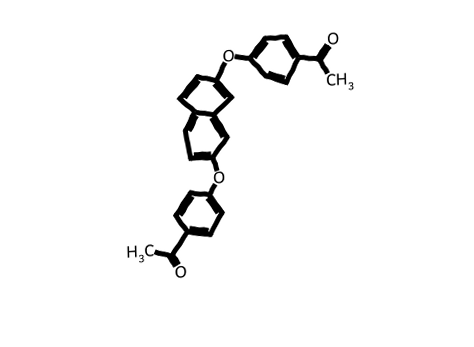 CC(=O)c1ccc(Oc2ccc3ccc(Oc4ccc(C(C)=O)cc4)cc3c2)cc1